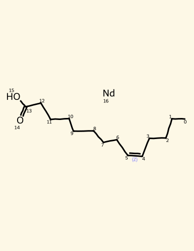 CCCC/C=C\CCCCCCCC(=O)O.[Nd]